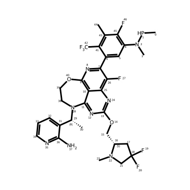 CPN(C)c1cc(-c2nc3c4c(nc(OC[C@@H]5CC(F)(F)CN5C)nc4c2F)N([C@H](C)c2cccnc2N)CCO3)c(C(F)(F)F)c(C)c1F